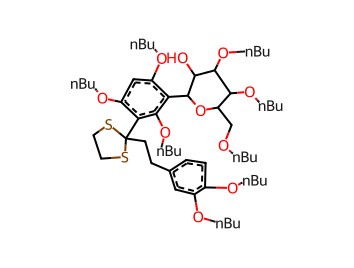 CCCCOCC1OC(c2c(OCCCC)cc(OCCCC)c(C3(CCc4ccc(OCCCC)c(OCCCC)c4)SCCS3)c2OCCCC)C(O)C(OCCCC)C1OCCCC